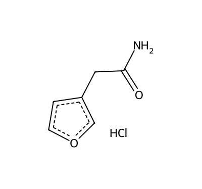 Cl.NC(=O)Cc1ccoc1